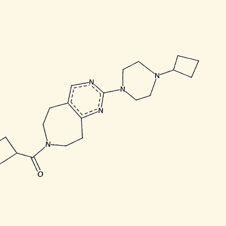 O=C(C1CCC1)N1CCc2cnc(N3CCN(C4CCC4)CC3)nc2CC1